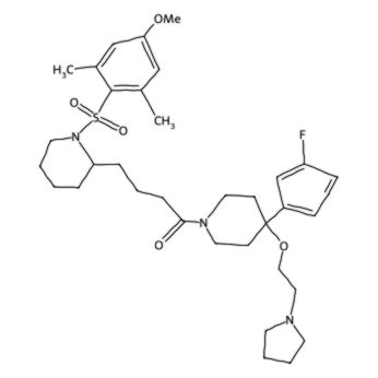 COc1cc(C)c(S(=O)(=O)N2CCCCC2CCCC(=O)N2CCC(OCCN3CCCC3)(c3cccc(F)c3)CC2)c(C)c1